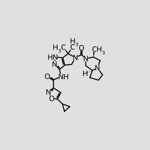 C[C@H]1CN2CCC[C@H]2CN1C(=O)N1Cc2c(NC(=O)c3cc(C4CC4)on3)n[nH]c2C1(C)C